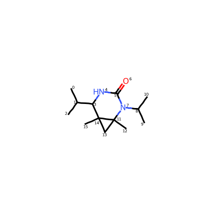 CC(C)C1NC(=O)N(C(C)C)C2(C)CC12C